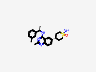 Cc1cccc([C@@H](C)Nc2nc(C)nc3ccc([C@H]4CC[S@@](=N)(=O)CC4)cc23)c1